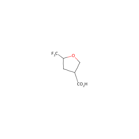 O=C(O)C1COC(C(F)(F)F)C1